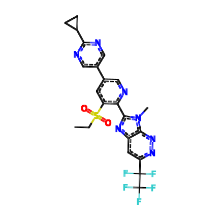 CCS(=O)(=O)c1cc(-c2cnc(C3CC3)nc2)cnc1-c1nc2cc(C(F)(F)C(F)(F)F)nnc2n1C